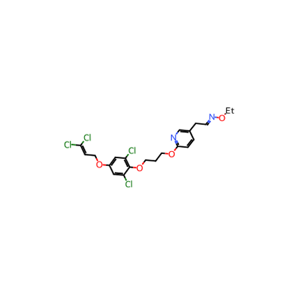 CCO/N=C/Cc1ccc(OCCCOc2c(Cl)cc(OCC=C(Cl)Cl)cc2Cl)nc1